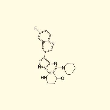 O=C1CCNc2c1c(N1CCCCC1)nc1c(-c3cnc4ccc(F)cc4c3)cnn21